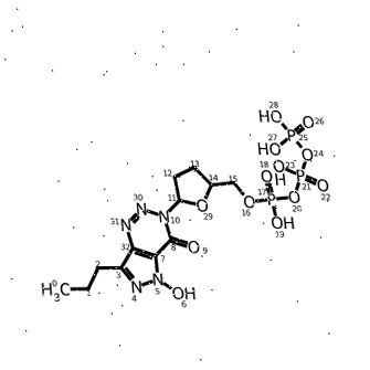 CCCc1nn(O)c2c(=O)n(C3[CH][CH]C(COP(=O)(O)OP(=O)(O)OP(=O)(O)O)O3)nnc12